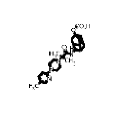 CC(C)(C(=O)NC1C2CC3CC1CC(OC(=O)O)(C3)C2)N1CCN(c2ccc(C(F)(F)F)cn2)CC1